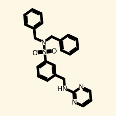 O=S(=O)(c1cccc(CNc2ncccn2)c1)N(Cc1ccccc1)Cc1ccccc1